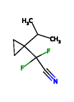 CC(C)C1(C(F)(F)C#N)CC1